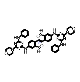 O=[SH](=O)c1cc(Nc2nc(Nc3ccccc3)nc(N3CCOCC3)n2)ccc1/C=C/c1ccc(Nc2nc(Nc3ccccc3)nc(N3CCOCC3)n2)cc1[SH](=O)=O